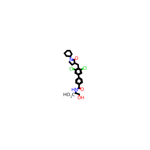 O=C(N[C@@H](CO)C(=O)O)c1ccc(-c2cc(Cl)c(CC3CCN(C4CCCCC4)C3=O)c(Cl)c2)cc1